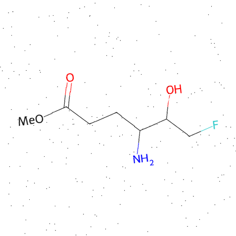 COC(=O)CCC(N)C(O)CF